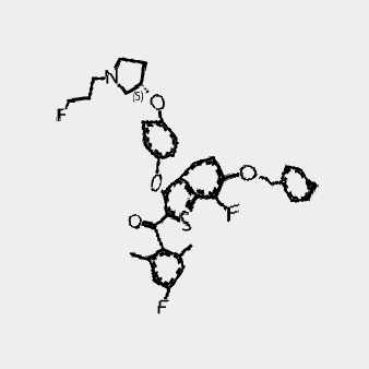 Cc1cc(F)cc(C)c1C(=O)c1sc2c(F)c(OCc3ccccc3)ccc2c1Oc1ccc(O[C@H]2CCN(CCCF)C2)cc1